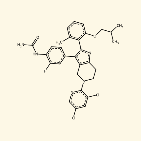 Cc1cccc(OCC(C)C)c1-n1nc2c(c1-c1ccc(NC(N)=O)c(F)c1)CN(c1ncc(Cl)cc1Cl)CC2